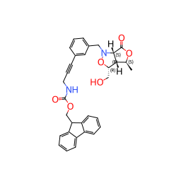 C[C@@H]1OC(=O)[C@@H]2[C@H]1[C@H](CO)ON2Cc1cccc(C#CCNC(=O)OCC2c3ccccc3-c3ccccc32)c1